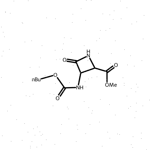 CCCCOC(=O)NC1C(=O)NC1C(=O)OC